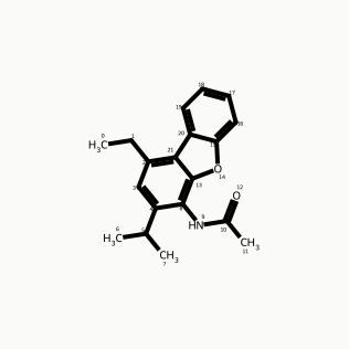 CCc1cc(C(C)C)c(NC(C)=O)c2oc3ccccc3c12